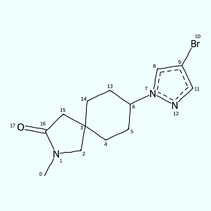 CN1CC2(CCC(n3cc(Br)cn3)CC2)CC1=O